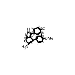 COc1ccc(C2C=C(N)Oc3n[nH]c(-c4ccc(Cl)cc4)c32)cc1I